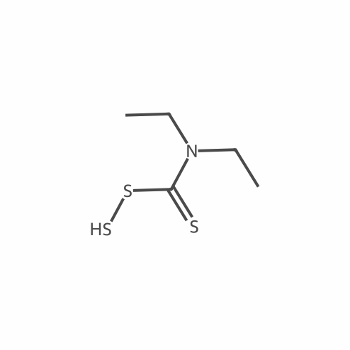 CCN(CC)C(=S)SS